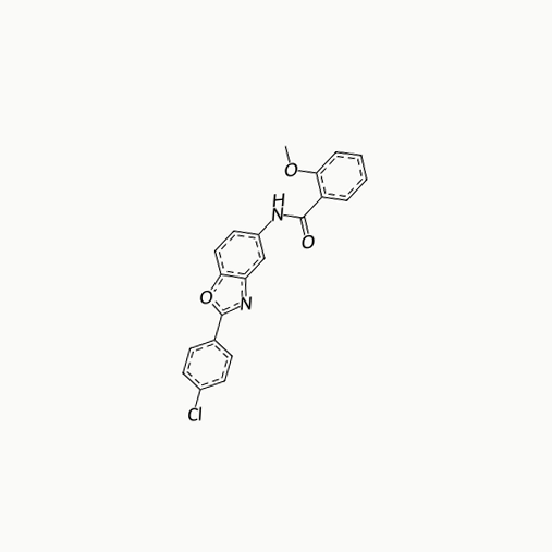 COc1ccccc1C(=O)Nc1ccc2oc(-c3ccc(Cl)cc3)nc2c1